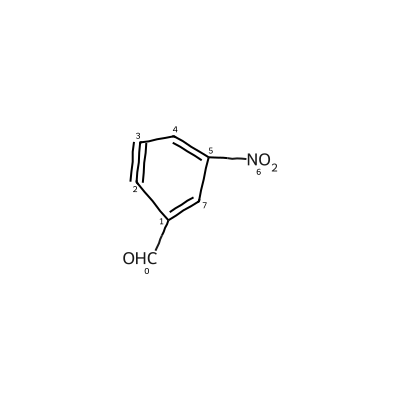 O=Cc1c#ccc([N+](=O)[O-])c1